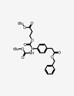 CC(C)(C)OC(=O)CCOC(=O)N(NC(=O)OC(C)(C)C)c1ccc(CC(=O)OCc2ccccc2)cc1